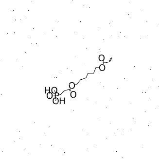 C=CC(=O)OCCCCCCOC(=O)CCP(=O)(O)O